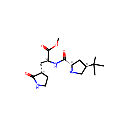 COC(=O)[C@H](C[C@@H]1CCNC1=O)NC(=O)[C@@H]1C[C@@H](C(C)(C)C)CN1